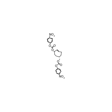 O=C(OC[C@H]1CC/C=C/[C@H](OC(=O)Oc2ccc([N+](=O)[O-])cc2)CC1)Oc1ccc([N+](=O)[O-])cc1